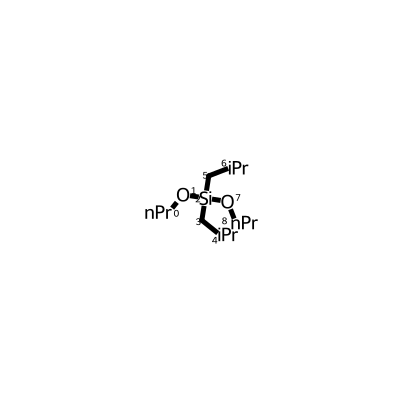 CCCO[Si](CC(C)C)(CC(C)C)OCCC